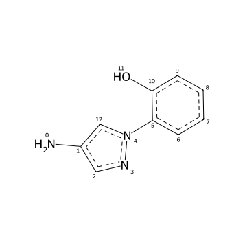 Nc1cnn(-c2ccccc2O)c1